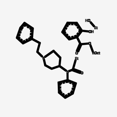 CCC(=O)N(c1ccccc1)C1CCN(CCc2ccccc2)CC1.CCCCCCCCOC(=O)c1ccccc1O.CCO